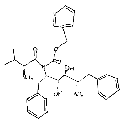 CC(C)[C@H](N)C(=O)N(C(=O)OCc1cccnc1)[C@@H](Cc1ccccc1)[C@@H](O)[C@@H](O)[C@@H](N)Cc1ccccc1